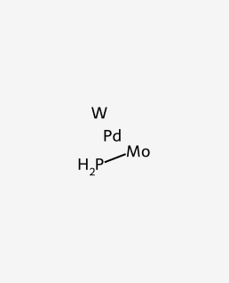 [PH2][Mo].[Pd].[W]